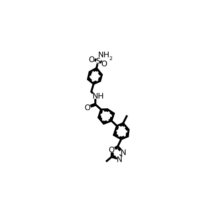 Cc1nnc(-c2ccc(C)c(-c3ccc(C(=O)NCc4ccc(S(N)(=O)=O)cc4)cc3)c2)o1